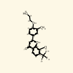 Cc1cc(-c2cc(=O)c3ccc(C(F)(F)F)c(Cl)c3o2)ccc1OCCO